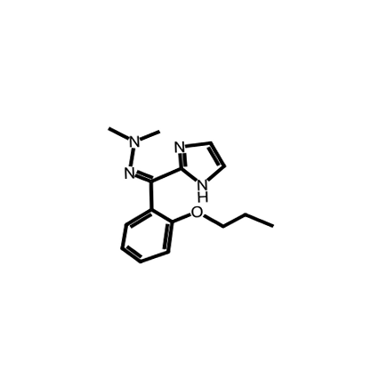 CCCOc1ccccc1/C(=N/N(C)C)c1ncc[nH]1